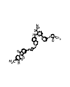 C=C1CCC(N2C(=O)c3ccc(N4CC(CN5CCc6cc(Nc7nc(N8CCC[C@H](N9CCN(C)C9=O)C8)cnc7C(N)=O)ccc6C5)C4)cc3C2=O)C(=O)N1